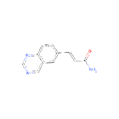 NC(=O)C=Cc1ccc2ncncc2c1